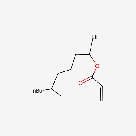 C=CC(=O)OC(CC)CCCC(C)CCCC